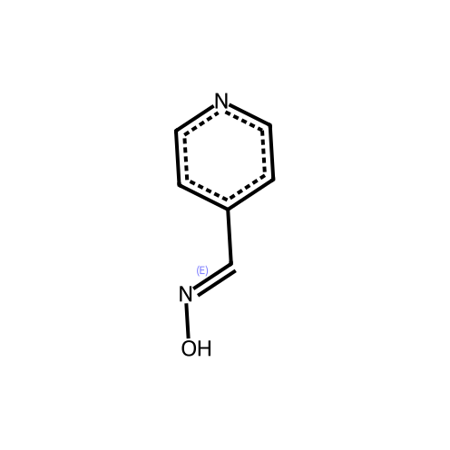 O/N=C/c1ccncc1